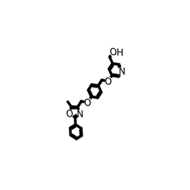 Cc1oc(-c2ccccc2)nc1COc1ccc(COc2cncc(CO)c2)cc1